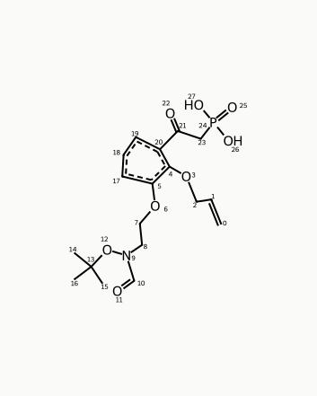 C=CCOc1c(OCCN(C=O)OC(C)(C)C)cccc1C(=O)CP(=O)(O)O